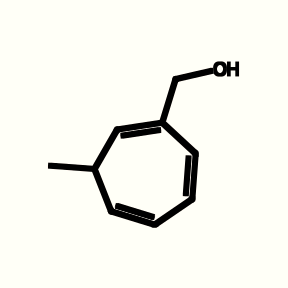 CC1C=CC=CC(CO)=C1